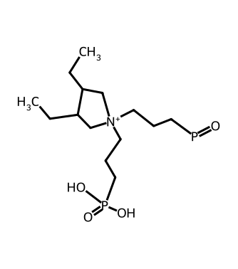 CCC1C[N+](CCCP=O)(CCCP(=O)(O)O)CC1CC